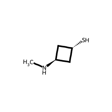 CN[C@H]1C[C@H](S)C1